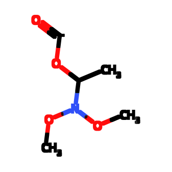 CON(OC)C(C)O[C]=O